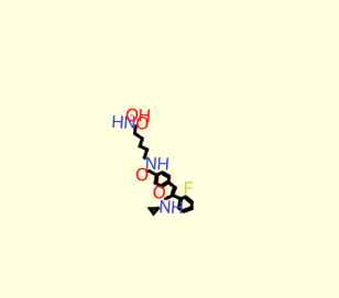 O=C(CCCCCNC(=O)c1ccc(/C=C(\C(=O)NC2CC2)c2ccccc2F)cc1)NO